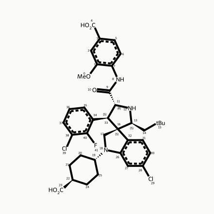 COc1cc(C(=O)O)ccc1NC(=O)[C@@H]1N[C@@H](CC(C)(C)C)[C@@]2(CN([C@H]3CC[C@H](C(=O)O)CC3)c3cc(Cl)ccc32)[C@H]1c1cccc(Cl)c1F